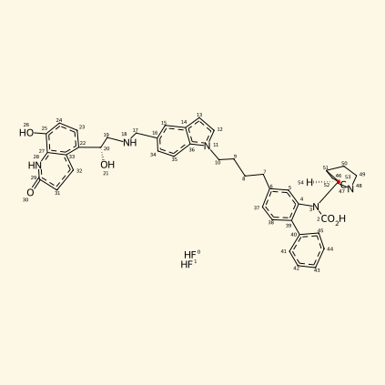 F.F.O=C(O)N(c1cc(CCCCn2ccc3cc(CNC[C@H](O)c4ccc(O)c5[nH]c(=O)ccc45)ccc32)ccc1-c1ccccc1)[C@H]1CN2CCC1CC2